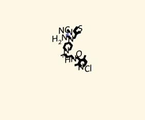 Cc1cc(Cl)nc(C)c1C(=O)NCC[C@@H](C)N1CCC(N(Cc2ccsc2)/C(N)=N/C#N)CC1